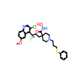 COc1ccc2ncc(Cl)c([C@H](F)CCC3(C(=O)NO)CCN(CCCSc4ccccc4)CC3)c2c1